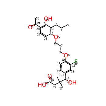 CCCc1c(OCCCOc2ccc(C(O)C(C)(C)CC(=O)O)cc2F)ccc(C(C)=O)c1O